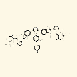 COC(=O)N[C@H](C(=O)N1CCC[C@H]1c1nc2cc([C@H]3CC[C@H](c4ccc5[nH]c([C@@H]6CCCN6C(=O)[C@@H](NC(=O)O)C(C)C)nc5c4)N3c3ccc(N4CCC(C)CC4)c(F)c3)ccc2[nH]1)C(C)C